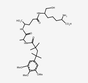 COc1cc(C(C)(C)CC(C)(C)C(=O)NC(C)C(=O)NC(CCC(=O)NC(CO)CCCC(N)C(=O)O)C(=O)O)cc(OC)c1OC